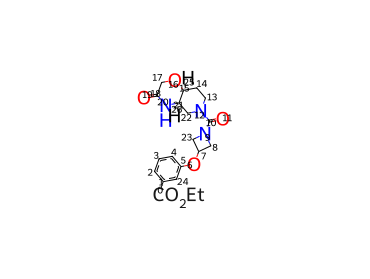 CCOC(=O)c1cccc(OC2CN(C(=O)N3CC[C@@H]4OCC(=O)N[C@@H]4C3)C2)c1